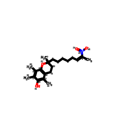 CC(=CCCCCCC1(C)CCc2c(C)c(O)c(C)c(C)c2O1)[N+](=O)[O-]